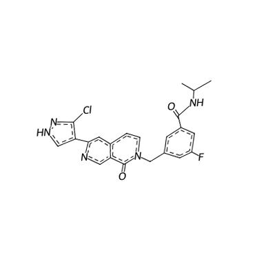 CC(C)NC(=O)c1cc(F)cc(Cn2ccc3cc(-c4c[nH]nc4Cl)ncc3c2=O)c1